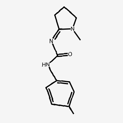 Cc1ccc(NC(=O)/N=C2/CCCN2C)cc1